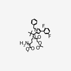 COC(=O)[C@@H](N)CCN(C(=O)COC(C)=O)[C@@H](c1cc(-c2cc(F)ccc2F)cn1Cc1ccccc1)C(C)(C)C